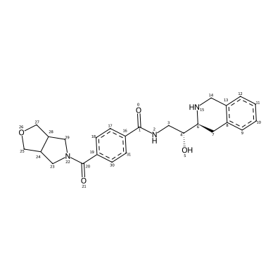 O=C(NC[C@@H](O)[C@@H]1Cc2ccccc2CN1)c1ccc(C(=O)N2CC3COCC3C2)cc1